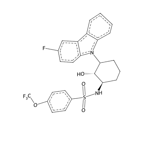 O=S(=O)(N[C@@H]1CCCC(n2c3ccccc3c3cc(F)ccc32)[C@H]1O)c1ccc(OC(F)(F)F)cc1